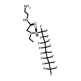 CCN(CC(=O)NCCN)S(=O)(=O)C(F)(F)C(F)(F)C(F)(F)C(F)(F)C(F)(F)C(F)(F)C(F)(F)C(F)(F)F